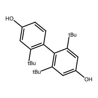 CC(C)(C)c1cc(O)ccc1-c1c(C(C)(C)C)cc(O)cc1C(C)(C)C